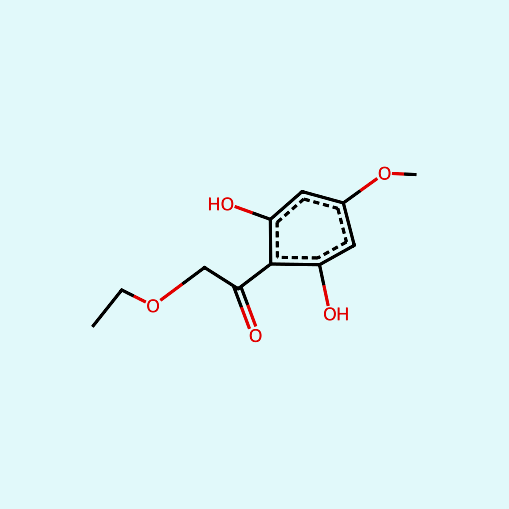 CCOCC(=O)c1c(O)cc(OC)cc1O